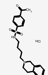 CC(=O)c1ccc(S(=O)(=O)NCCCCN2CCc3ccccc3C2)cc1.Cl